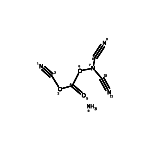 N.N#COC(=O)ON(C#N)C#N